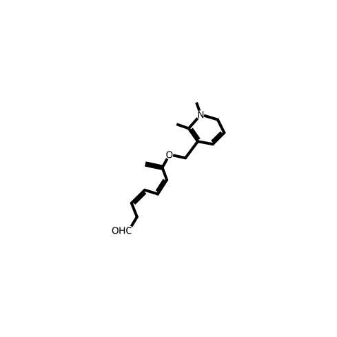 C=C(/C=C\C=C/CC=O)OCC1=C(C)N(C)CC=C1